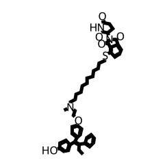 CC/C(=C(\c1ccc(O)cc1)c1ccc(OCCN(C)CCCCCCCCCCCCSc2cccc3c2C(=O)N(C2CCC(=O)NC2=O)C3=O)cc1)c1ccccc1